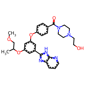 COCC(C)Oc1cc(Oc2ccc(C(=O)N3CCN(CCO)CC3)cc2)cc(-c2nc3cccnc3[nH]2)c1